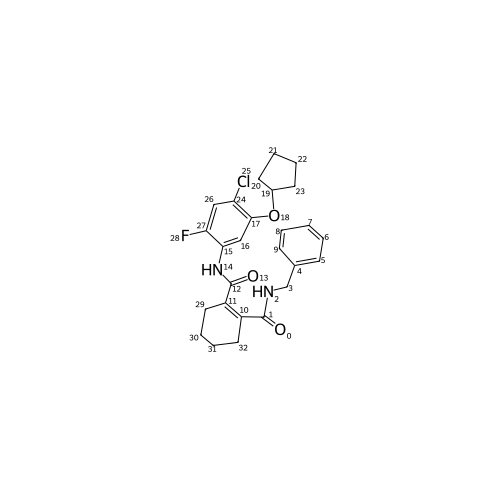 O=C(NCc1ccccc1)C1=C(C(=O)Nc2cc(OC3CCCC3)c(Cl)cc2F)CCCC1